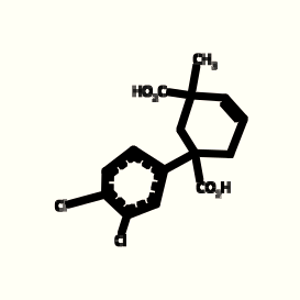 CC1(C(=O)O)C=CCC(C(=O)O)(c2ccc(Cl)c(Cl)c2)C1